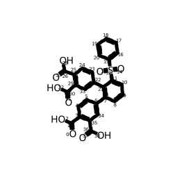 O=C(O)c1ccc(-c2cccc(S(=O)(=O)c3ccccc3)c2-c2ccc(C(=O)O)c(C(=O)O)c2)cc1C(=O)O